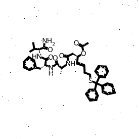 CC(=O)O[C@@H](/C=C/CCSC(c1ccccc1)(c1ccccc1)c1ccccc1)CC(=O)N[C@H](C)C(=O)N[C@H](Cc1ccccc1)C(=O)N[C@@H](C(N)=O)C(C)C